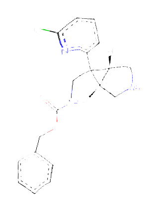 O=C(NCC1(c2cccc(Cl)n2)[C@@H]2CNC[C@@H]21)OCc1ccccc1